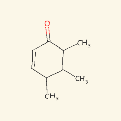 CC1C=CC(=O)C(C)C1C